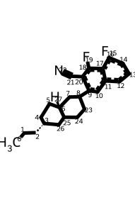 CCC[C@@H]1CC[C@@H]2CC(c3cc4cccc(F)c4c(F)c3C#N)CCC2C1